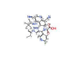 C=C(CC)n1cc([C@H](c2ccc(F)nc2C)N(C(=O)C(=O)O)c2cc(C#N)c3ncc(C#N)c(N[C@H](C)C(C)(C)C)c3c2)nn1